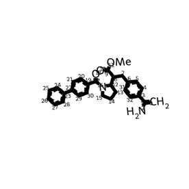 C=C(N)c1ccc(CC(C(=O)OC)C2CCCN2C(=O)c2ccc(-c3ccccc3)cc2)cc1